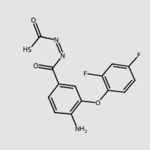 Nc1ccc(C(=O)/N=N\C(=O)S)cc1Oc1ccc(F)cc1F